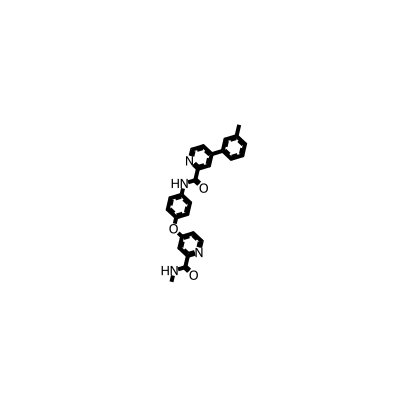 CNC(=O)c1cc(Oc2ccc(NC(=O)c3cc(-c4cccc(C)c4)ccn3)cc2)ccn1